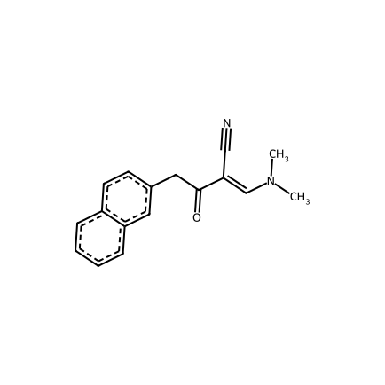 CN(C)C=C(C#N)C(=O)Cc1ccc2ccccc2c1